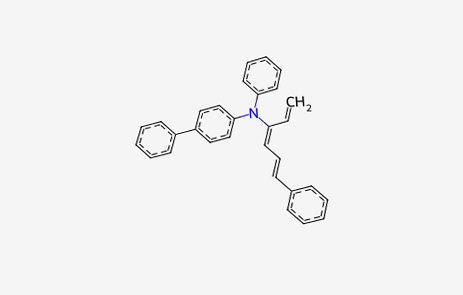 C=C/C(=C\C=C\c1ccccc1)N(c1ccccc1)c1ccc(-c2ccccc2)cc1